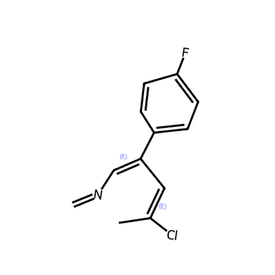 C=N/C=C(\C=C(/C)Cl)c1ccc(F)cc1